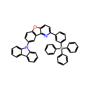 c1ccc([Si](c2ccccc2)(c2ccccc2)c2cccc(-c3ccc4oc5ccc(-n6c7ccccc7c7ccccc76)cc5c4n3)c2)cc1